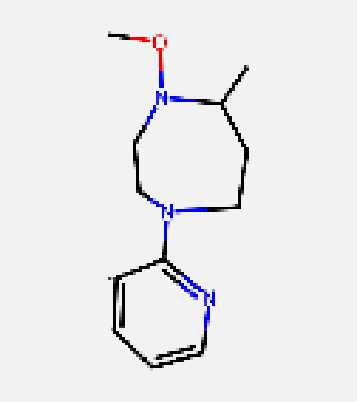 CON1CCN(c2[c]cccn2)CCC1C